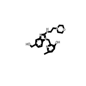 Cc1ccc(O)c(Cn2c(NCCN3CCOCC3)nc3cc(CO)ccc32)n1